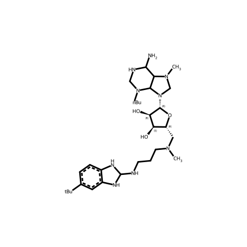 CCCCN1CNC(N)C2C1N([C@@H]1O[C@H](CN(C)CCCNC3Nc4ccc(C(C)(C)C)cc4N3)[C@@H](O)[C@H]1O)CN2C